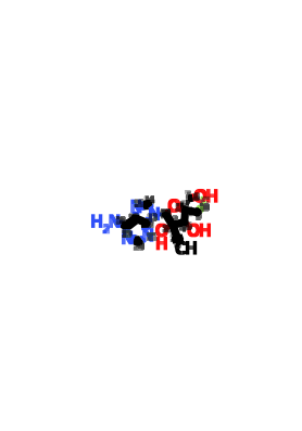 C#C[C@@]1(O)[C@H](O)[C@](CO)(CF)O[C@H]1n1cnc2c(N)ncnc21